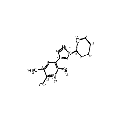 Cc1cc(-c2cnn(C3CCCCO3)c2)c(Br)nc1Cl